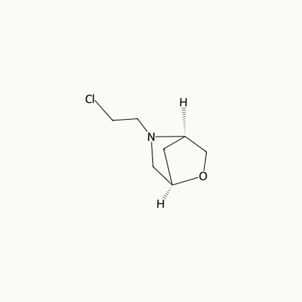 ClCCN1C[C@H]2C[C@@H]1CO2